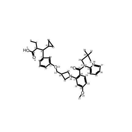 CCC(C(=O)O)C(c1cccc(OCC2CN(c3cc(OC)ccc3C(=O)N(CC(C)(C)C)c3ccccn3)C2)c1)C1CC1